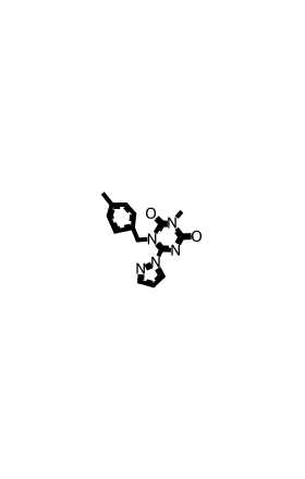 Cc1ccc(Cn2c(-n3cccn3)nc(=O)n(C)c2=O)cc1